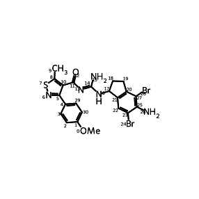 COc1ccc(-c2nsc(C)c2C(=O)/N=C(\N)NC2CCc3c2cc(Br)c(N)c3Br)cc1